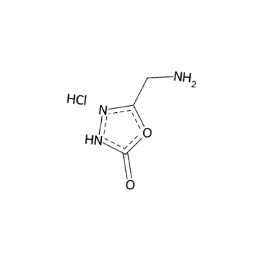 Cl.NCc1n[nH]c(=O)o1